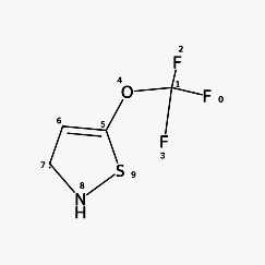 FC(F)(F)OC1=C[CH]NS1